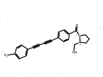 Nc1ccc(C#CC#Cc2ccc(C(=O)N3CCC[C@H]3CO)cc2)cc1